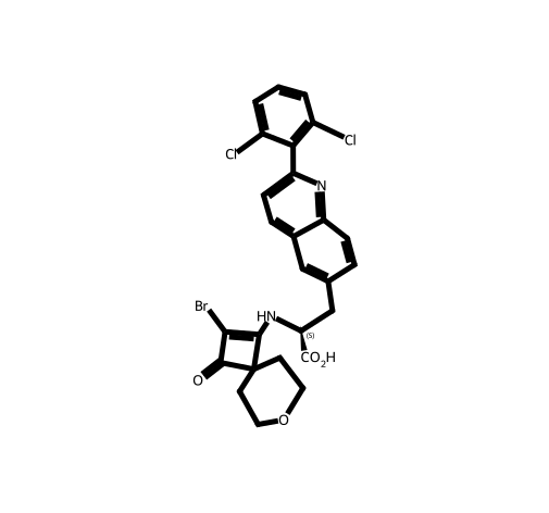 O=C(O)[C@H](Cc1ccc2nc(-c3c(Cl)cccc3Cl)ccc2c1)NC1=C(Br)C(=O)C12CCOCC2